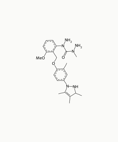 COc1cccc(N(N)C(=O)N(C)N)c1COc1ccc(N2NC(C)C(C)=C2C)cc1C